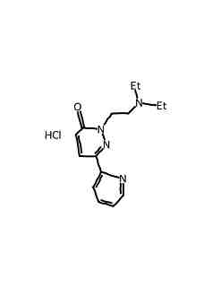 CCN(CC)CCn1nc(-c2ccccn2)ccc1=O.Cl